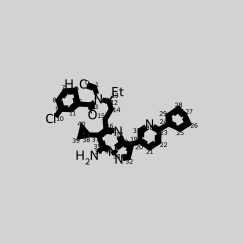 C=CN(C(=O)c1cccc(Cl)c1)[C@H](CC)CCc1nc2c(-c3ccc(-c4ccccc4)nc3)cnn2c(N)c1C1CC1